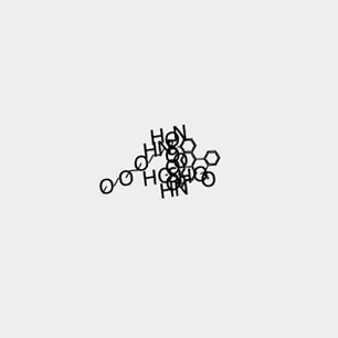 COCCOCCOCCCNS(=O)(=O)c1c(N)ccc2c(-c3ccccc3C(=O)O)c3ccc(=N)c(S(=O)(=O)O)c-3oc12